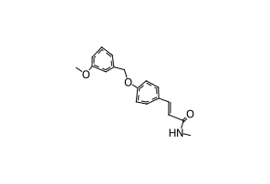 CNC(=O)C=Cc1ccc(OCc2cccc(OC)c2)cc1